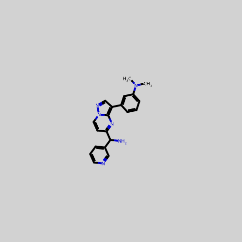 CN(C)c1cccc(-c2cnn3ccc(C(N)c4cccnc4)nc23)c1